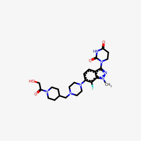 Cn1nc(N2CCC(=O)NC2=O)c2ccc(N3CCN(CC4CCN(C(=O)CO)CC4)CC3)c(F)c21